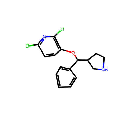 Clc1ccc(OC(c2ccccc2)C2CCNC2)c(Cl)n1